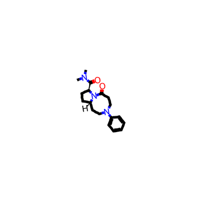 CN(C)C(=O)[C@@H]1CC[C@@H]2CCN(c3ccccc3)CCC(=O)N21